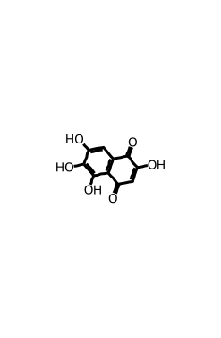 O=C1C(O)=CC(=O)c2c1cc(O)c(O)c2O